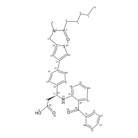 CCCCCC(=O)N(C)Cc1cc(-c2ccc([C@H](CC(=O)O)Nc3ccccc3C(=O)c3ccccc3)cc2)cs1